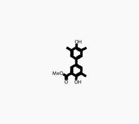 COC(=O)c1cc(-c2cc(C)c(O)c(C)c2)cc(C)c1O